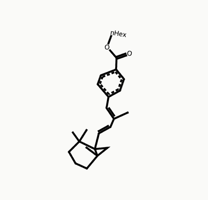 CCCCCCOC(=O)c1ccc(C=C(C)C=CC23CC2(C)CCCC3(C)C)cc1